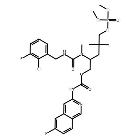 COP(=O)(OC)OCC(C)(C)CC(COC(=O)Nc1cc2cc(F)ccc2cn1)N(C)C(=O)NCc1cccc(F)c1Cl